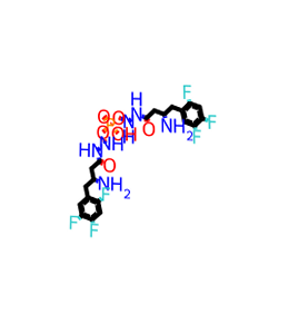 NC(CC(=O)NNOP(=O)(O)ONNC(=O)CC(N)Cc1cc(F)c(F)cc1F)Cc1cc(F)c(F)cc1F